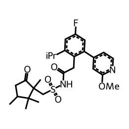 COc1cc(-c2cc(F)cc(C(C)C)c2CC(=O)NS(=O)(=O)CC2(C)C(=O)CC(C)C2(C)C)ccn1